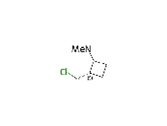 CNC1CC[C@@H]1CCl